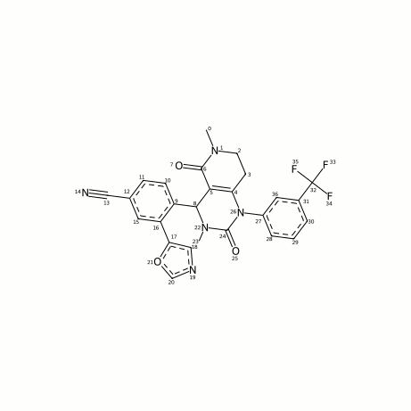 CN1CCC2=C(C1=O)C(c1ccc(C#N)cc1-c1cnco1)N(C)C(=O)N2c1cccc(C(F)(F)F)c1